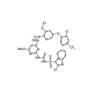 CCOc1cc(Oc2ccc(C(F)(F)F)cc2Cl)ccc1[N+](=O)[O-].COc1cc(OC)nc(NC(=O)NS(=O)(=O)c2c(Cl)nc3ccccn23)n1